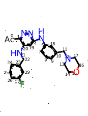 CC(=O)c1nnc(Nc2cccc(CN3CCOCC3)c2)cc1NCc1cccc(F)c1